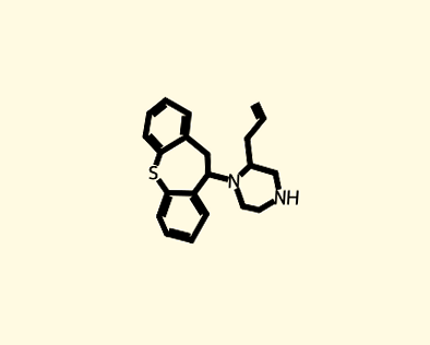 C=CCC1CNCCN1C1Cc2ccccc2Sc2ccccc21